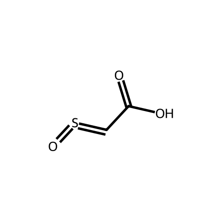 O=S=CC(=O)O